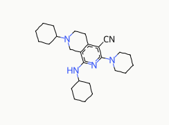 N#Cc1c(N2CCCCC2)nc(NC2CCCCC2)c2c1CCN(C1CCCCC1)C2